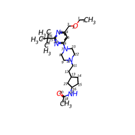 CCOCc1cc(N2CCN(CCC3CCC(NC(C)=O)C3)CC2)nc(C(C)(C)C)n1